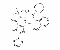 COc1cccnc1[C@H](Cc1nn(C(C)(C)C(=O)O)c(=O)c2c1nc(-c1ncco1)n2C)OC1CCCCC1